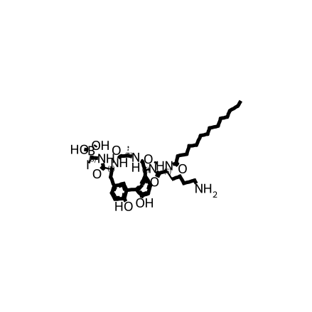 CCCCCCCCCCCCCC(=O)N[C@@H](CCCCN)C(=O)N(C)[C@@H]1C(=O)N[C@@H](C)C(=O)N[C@H](C(=O)N[C@@H](I)B(O)O)Cc2ccc(O)c(c2)-c2cc1ccc2O